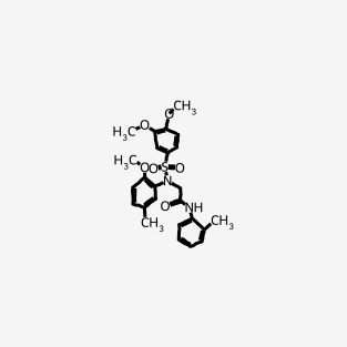 COc1ccc(S(=O)(=O)N(CC(=O)Nc2ccccc2C)c2cc(C)ccc2OC)cc1OC